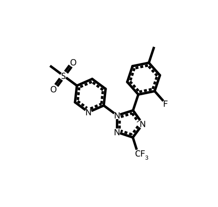 Cc1ccc(-c2nc(C(F)(F)F)nn2-c2ccc(S(C)(=O)=O)cn2)c(F)c1